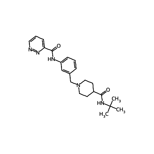 CC(C)(C)NC(=O)C1CCN(Cc2cccc(NC(=O)c3cccnn3)c2)CC1